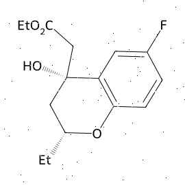 CCOC(=O)C[C@]1(O)C[C@@H](CC)Oc2ccc(F)cc21